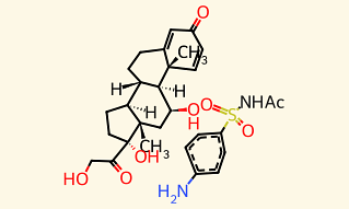 CC(=O)NS(=O)(=O)c1ccc(N)cc1.C[C@]12C=CC(=O)C=C1CC[C@@H]1[C@@H]2[C@@H](O)C[C@@]2(C)[C@H]1CC[C@]2(O)C(=O)CO